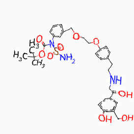 CC(C)(C)OC(=O)N(c1cccc(COCCOc2ccc(CCNC[C@H](O)c3ccc(O)c(CO)c3)cc2)c1)S(N)(=O)=O